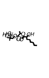 CCCCCCC(O)C(=O)OC(C)C(=O)OCC(C)(CO)CO